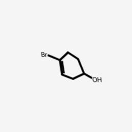 OC1CC=C(Br)CC1